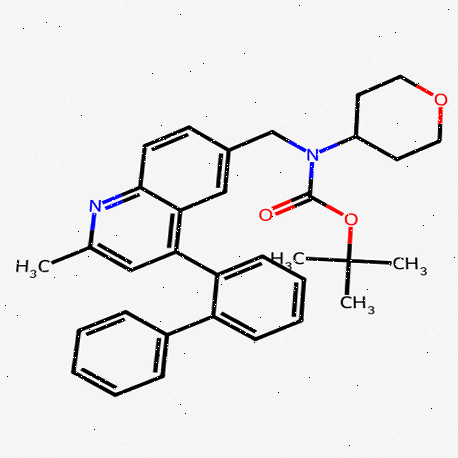 Cc1cc(-c2ccccc2-c2ccccc2)c2cc(CN(C(=O)OC(C)(C)C)C3CCOCC3)ccc2n1